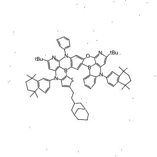 CC(C)(C)c1cc2c3c(n1)Oc1cc4c(cc1B3c1ccccc1N2c1ccc2c(c1)C(C)(C)CCC2(C)C)B1c2sc(CCC3CC5CCCC(C5)C3)cc2N(c2ccc3c(c2)C(C)(C)CCC3(C)C)c2cc(C(C)(C)C)nc(c21)N4c1ccccc1